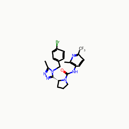 Cc1nc(C(F)(F)F)ccc1NC(=O)N1CCC[C@@H]1c1nnc(C)n1Cc1ccc(Br)cc1